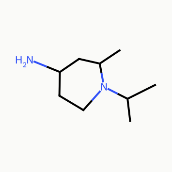 CC(C)N1CCC(N)CC1C